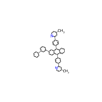 Cc1ccnc(-c2ccc(-c3c4ccccc4c(-c4ccc(-c5cc(C)ccn5)cc4)c4cc(-c5cccc(-c6ccccc6)c5)ccc34)cc2)c1